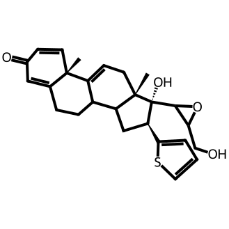 C[C@]12C=CC(=O)C=C1CCC1C2=CC[C@@]2(C)C1C[C@H](c1cccs1)[C@]2(O)C1OC1CO